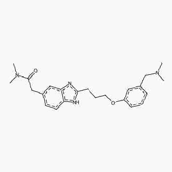 CN(C)Cc1cccc(OCCCc2nc3cc(CC(=O)N(C)C)ccc3[nH]2)c1